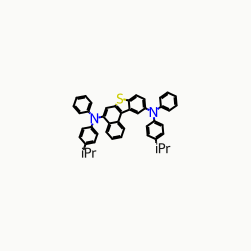 CC(C)c1ccc(N(c2ccccc2)c2ccc3sc4cc(N(c5ccccc5)c5ccc(C(C)C)cc5)c5ccccc5c4c3c2)cc1